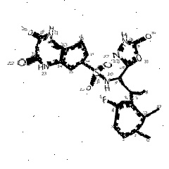 Cc1ccc(F)c(C(C)C(NS(=O)(=O)c2ccc3[nH]c(=O)c(=O)[nH]c3c2)c2n[nH]c(=O)o2)c1C